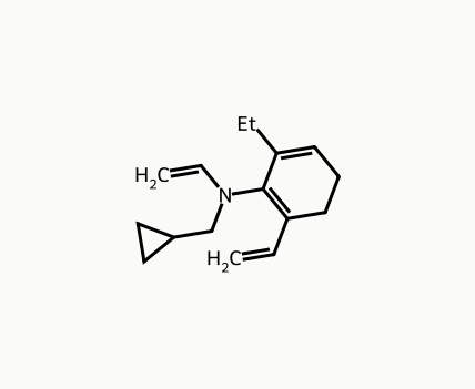 C=CC1=C(N(C=C)CC2CC2)C(CC)=CCC1